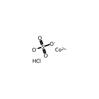 Cl.O=S(=O)([O-])[O-].[Co+2]